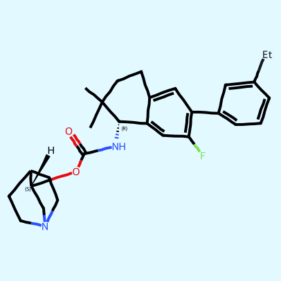 CCc1cccc(-c2cc3c(cc2F)[C@H](NC(=O)O[C@@H]2CN4CCC2CC4)C(C)(C)CC3)c1